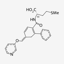 CSCC[C@H](NC(=O)C1=C(c2ccccc2)CC(=COc2cccnc2)C=C1)C(=O)O